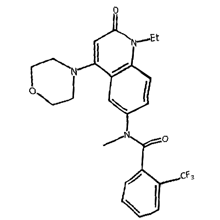 CCn1c(=O)cc(N2CCOCC2)c2cc(N(C)C(=O)c3ccccc3C(F)(F)F)ccc21